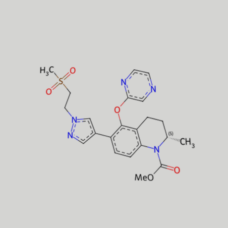 COC(=O)N1c2ccc(-c3cnn(CCS(C)(=O)=O)c3)c(Oc3cnccn3)c2CC[C@@H]1C